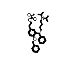 CC(C)N(CCCC[C@H](c1ccccc1)c1cc(CCOS(C)(=O)=O)ccc1OCc1ccccc1)C(C)C